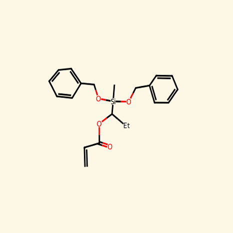 C=CC(=O)OC(CC)[Si](C)(OCc1ccccc1)OCc1ccccc1